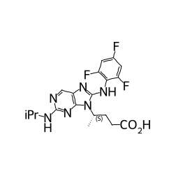 CC(C)Nc1ncc2nc(Nc3c(F)cc(F)cc3F)n([C@@H](C)CCC(=O)O)c2n1